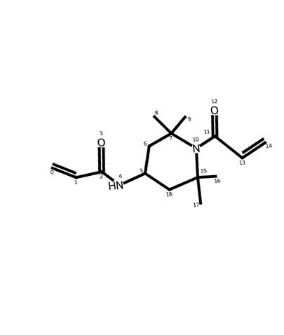 C=CC(=O)NC1CC(C)(C)N(C(=O)C=C)C(C)(C)C1